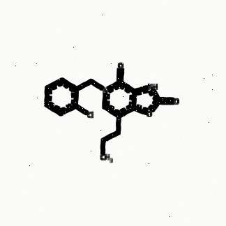 CCCc1cn(Cc2ccccc2Cl)c(=O)c2[nH]c(=O)oc12